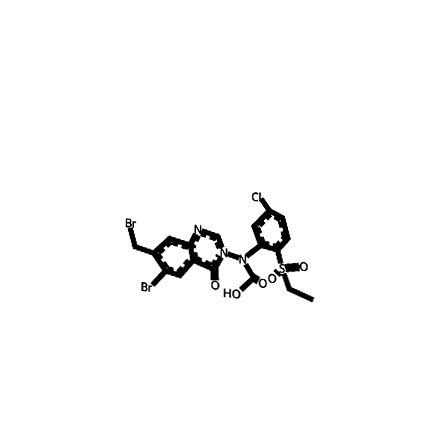 CCS(=O)(=O)c1ccc(Cl)cc1N(C(=O)O)n1cnc2cc(CBr)c(Br)cc2c1=O